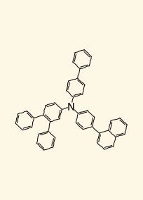 c1ccc(-c2ccc(N(c3ccc(-c4cccc5ccccc45)cc3)c3ccc(-c4ccccc4)c(-c4ccccc4)c3)cc2)cc1